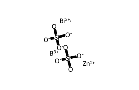 [B+3].[Bi+3].[O-][Si]([O-])([O-])[O-].[O-][Si]([O-])([O-])[O-].[Zn+2]